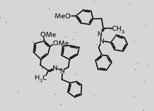 COc1ccc(CC(C)=NN(Cc2ccccc2)Cc2ccccc2)cc1OC.COc1ccc(CC(C)=NN(Cc2ccccc2)c2ccccc2)cc1